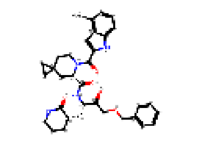 COc1cccc2[nH]c(C(=O)N3CCC4(CC4)C[C@H]3C(=O)N[C@@H](C[C@@H]3CCCNC3=O)C(=O)COCc3ccccc3)cc12